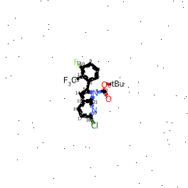 CC(C)(C)OC(=O)n1c(-c2cccc(F)c2C(F)(F)F)cc2ccc(Cl)nc21